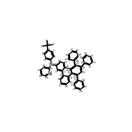 CC(C)(C)c1ccc(N(c2ccc3c(c2)c2ccccc2c2c(-c4ccccc4)cc(-c4ccccc4)c(-c4ccccc4)c32)c2ccccn2)cc1